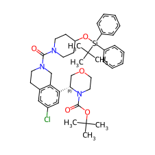 CC(C)(C)OC(=O)N1CCOC[C@H]1c1cc(Cl)cc2c1CN(C(=O)N1CCC(O[Si](c3ccccc3)(c3ccccc3)C(C)(C)C)CC1)CC2